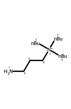 CCCC[N+](CCCC)(CCCC)CCCN